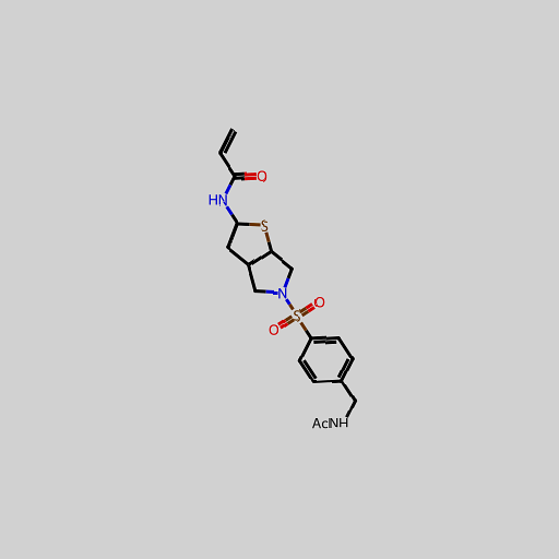 C=CC(=O)NC1CC2CN(S(=O)(=O)c3ccc(CNC(C)=O)cc3)CC2S1